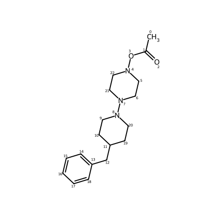 CC(=O)ON1CCN(N2CCC(Cc3ccccc3)CC2)CC1